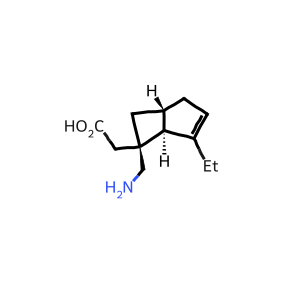 CCC1=CC[C@H]2C[C@@](CN)(CC(=O)O)[C@H]12